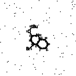 CC(C)(C)Oc1cc(Br)c2c[c]ccc2n1